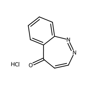 Cl.O=c1ccnnc2ccccc12